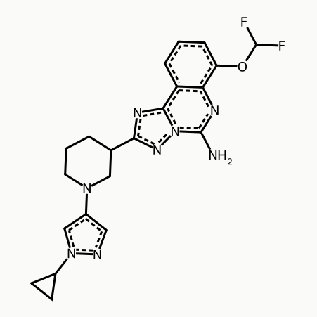 Nc1nc2c(OC(F)F)cccc2c2nc(C3CCCN(c4cnn(C5CC5)c4)C3)nn12